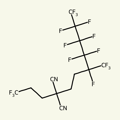 N#CC(C#N)(CCC(F)(F)F)CCC(F)(C(F)(F)F)C(F)(F)C(F)(F)C(F)(F)C(F)(F)F